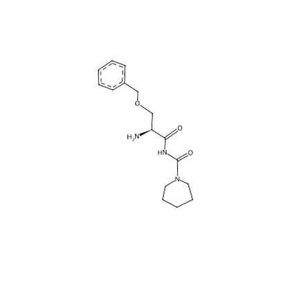 N[C@@H](COCc1ccccc1)C(=O)NC(=O)N1CCCCC1